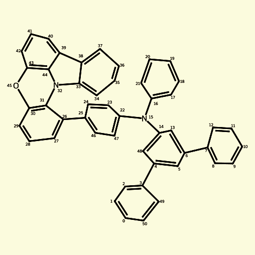 c1ccc(-c2cc(-c3ccccc3)cc(N(c3ccccc3)c3ccc(-c4cccc5c4-n4c6ccccc6c6cccc(c64)O5)cc3)c2)cc1